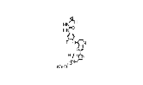 COCCNCc1cnc(-c2cc3nccc(Oc4ccc(NC(=O)NC5C6C[C@@H]65)cc4F)c3s2)n1C